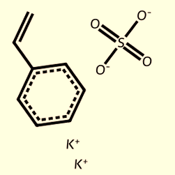 C=Cc1ccccc1.O=S(=O)([O-])[O-].[K+].[K+]